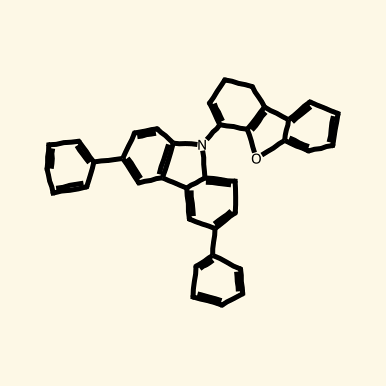 C1=C(n2c3ccc(-c4ccccc4)cc3c3cc(-c4ccccc4)ccc32)c2oc3ccccc3c2CC1